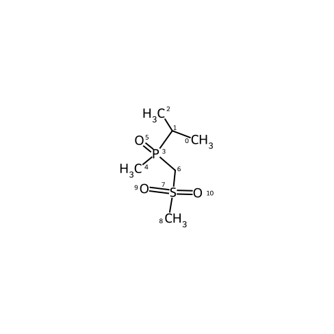 CC(C)P(C)(=O)CS(C)(=O)=O